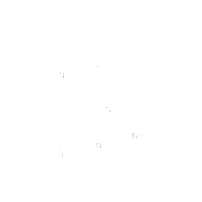 Nc1nc(Cl)cc(-c2ncco2)n1